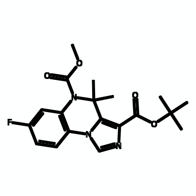 COC(=O)N1c2cc(F)ccc2-n2cnc(C(=O)OC(C)(C)C)c2C1(C)C